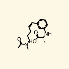 CC(=O)N(C)CCC/C=C\c1cccc(N[C@H](C)C(=O)O)c1